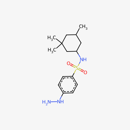 CC1CC(NS(=O)(=O)c2ccc(NN)cc2)CC(C)(C)C1